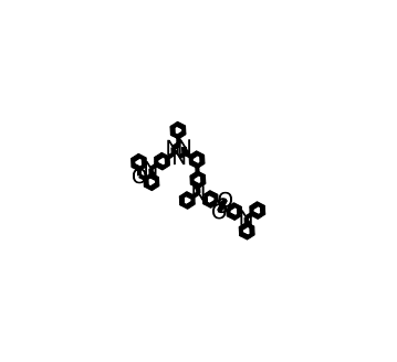 O=S(=O)(c1ccc(N(c2ccccc2)c2ccccc2)cc1)c1ccc(N(c2ccccc2)c2ccc(-c3cccc(-c4nc(-c5ccccc5)nc(-c5ccc(N6c7ccccc7Oc7ccccc76)cc5)n4)c3)cc2)cc1